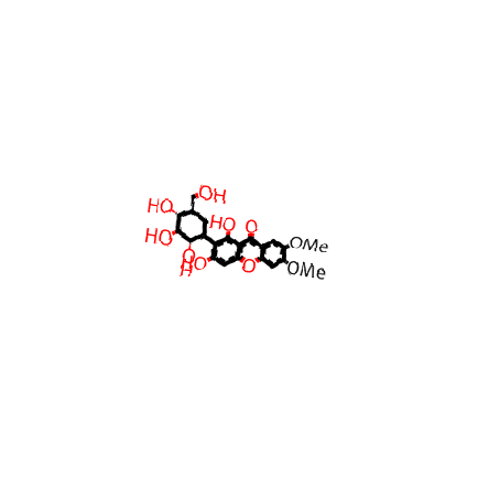 COc1cc2oc3cc(O)c(C4C[C@H](CO)[C@@H](O)[C@H](O)[C@H]4O)c(O)c3c(=O)c2cc1OC